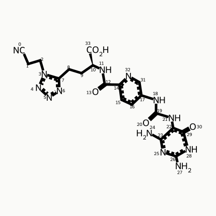 N#CCCn1nnnc1CC[C@H](NC(=O)c1ccc(NC(=O)Nc2c(N)nc(N)[nH]c2=O)cn1)C(=O)O